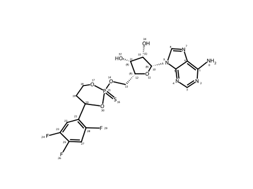 Nc1ncnc2c1ncn2[C@@H]1O[C@H](COP2(=S)OCCC(c3cc(F)c(F)cc3F)O2)[C@H](O)[C@@H]1O